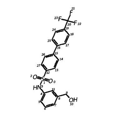 O=S(=O)(Nc1cccc(CO)c1)c1ccc(-c2ccc(C(F)(F)F)cc2)cc1